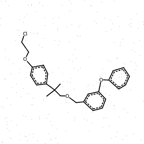 CC(C)(COCc1cccc(Oc2ccccc2)c1)c1ccc(OCCCl)cc1